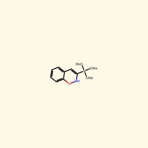 CO[Si](OC)(OC)C1=Cc2ccccc2ON1